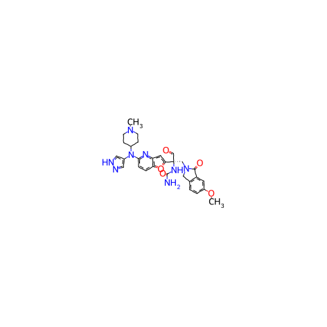 COc1ccc2c(c1)C(=O)N(C[C@](C=O)(NC(N)=O)c1cc3nc(N(c4cn[nH]c4)C4CCN(C)CC4)ccc3o1)C2